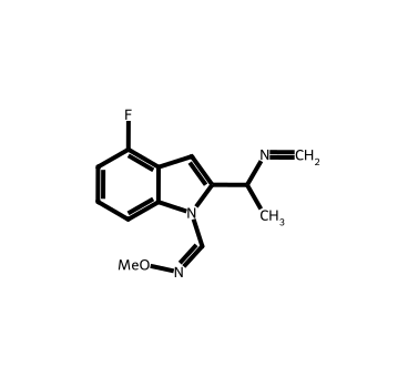 C=NC(C)c1cc2c(F)cccc2n1/C=N\OC